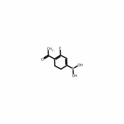 CC(=O)C1=C(F)C=C(B(O)O)CC1